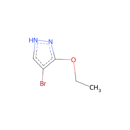 CCOc1n[nH]cc1Br